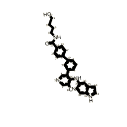 N#Cc1cncc(-c2cccc(-c3ccc(C(=O)NCCCCO)cc3)c2)c1Nc1ccc2[nH]ccc2c1